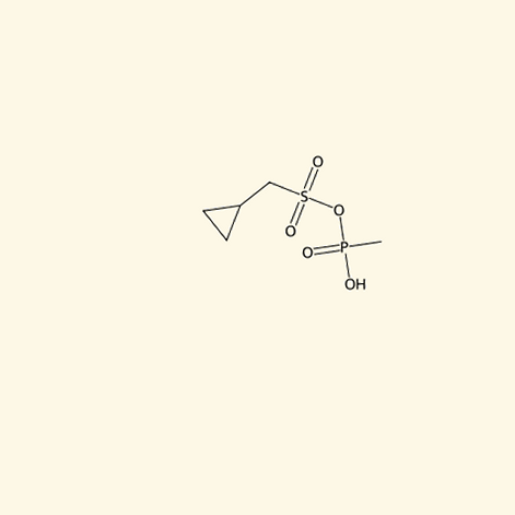 CP(=O)(O)OS(=O)(=O)CC1CC1